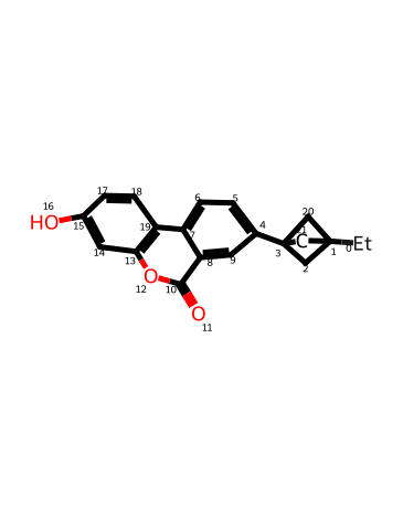 CCC12CC(c3ccc4c(c3)c(=O)oc3cc(O)ccc34)(C1)C2